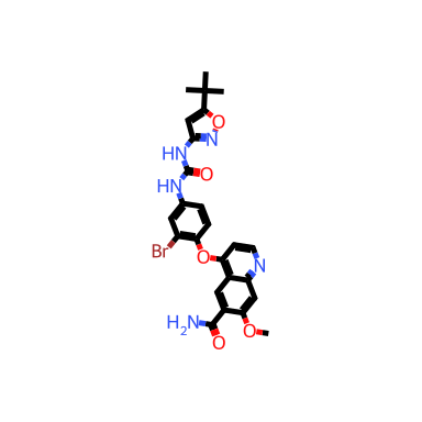 COc1cc2nccc(Oc3ccc(NC(=O)Nc4cc(C(C)(C)C)on4)cc3Br)c2cc1C(N)=O